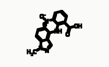 Cn1ncc2c(Nc3c(C(=O)O)cccc3[N+](=O)[O-])cccc21